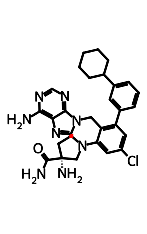 NC(=O)[C@@]1(N)CCN(c2cc(Cl)cc(-c3cccc(C4CCCCC4)c3)c2Cn2cnc3c(N)ncnc32)C1